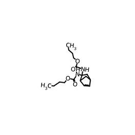 CCCCOC(=O)NC1(NC(=O)OCCCC)CC2C=CC1C2